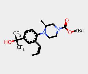 C/C=C\c1cc(C(O)(C(F)(F)F)C(F)(F)F)ccc1N1CCN(C(=O)OC(C)(C)C)C[C@@H]1C